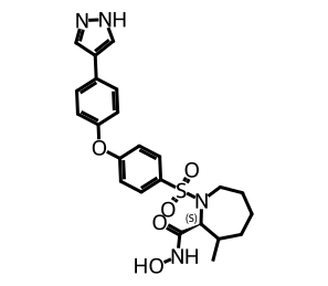 CC1CCCCN(S(=O)(=O)c2ccc(Oc3ccc(-c4cn[nH]c4)cc3)cc2)[C@@H]1C(=O)NO